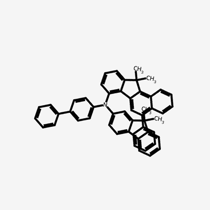 CC1(C)c2ccccc2-c2ccc(N(c3ccc(-c4ccccc4)cc3)c3cccc4c3-c3cc(-c5ccccc5)c5ccccc5c3C4(C)C)cc21